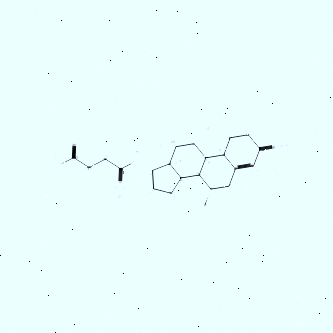 C[C@@H]1CC2=CC(=O)CCC2C2C1C1CC[C@H](OC(=O)CCC(=O)O)[C@@]1(C)C[C@@H]2C